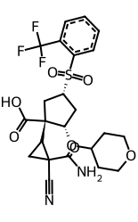 N#CC1(C(N)=O)CC1[C@@]1(C(=O)O)C[C@H](S(=O)(=O)c2ccccc2C(F)(F)F)C[C@@H]1OC1CCOCC1